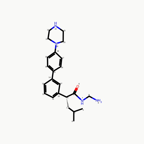 CC(C)C[C@@H](C(=O)NCN)c1cccc(-c2ccc(N3CCNCC3)cc2)c1